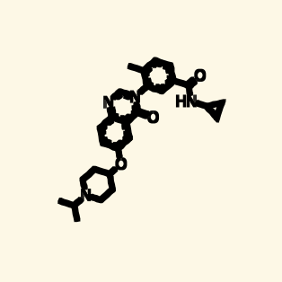 Cc1ccc(C(=O)NC2CC2)cc1-n1cnc2ccc(OC3CCN(C(C)C)CC3)cc2c1=O